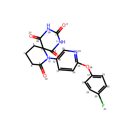 O=C1NC(=O)C2(CCCC(=O)N2c2ccc(Oc3ccc(F)cc3)nc2)C(=O)N1